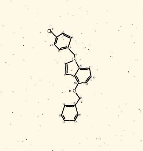 Clc1ccc(Cn2ccc3c(OCc4ccccc4)cccc32)cc1